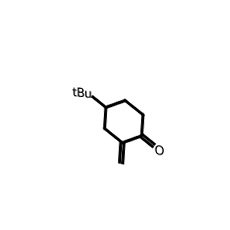 C=C1CC(C(C)(C)C)CCC1=O